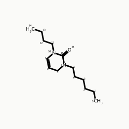 CCCCCCN1CC=CN(CCCC)C1=O